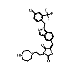 O=C1SC(=Cc2ccc3c(cnn3Cc3ccc(Cl)cc3C(F)(F)F)c2)C(=O)N1CCN1CCCNCC1